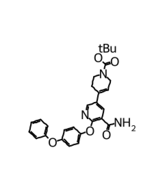 CC(C)(C)OC(=O)N1CC=C(c2cnc(Oc3ccc(Oc4ccccc4)cc3)c(C(N)=O)c2)CC1